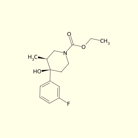 CCOC(=O)N1CC[C@](O)(c2cccc(F)c2)[C@@H](C)C1